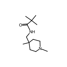 CN1CCC(C)(CNC(=O)C(C)(C)C)CC1